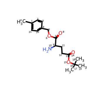 Cc1ccc(COC(=O)C(N)CCC(=O)OC(C)(C)C)cc1